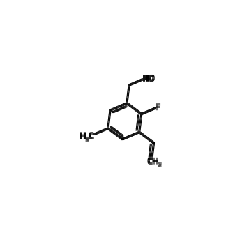 C=Cc1cc(C)cc(CN=O)c1F